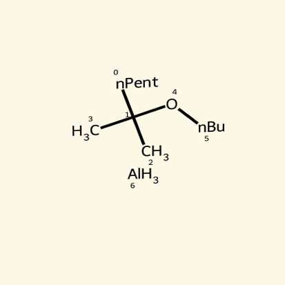 CCCCCC(C)(C)OCCCC.[AlH3]